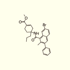 CCCC1(NC(=O)c2c(C)c(-c3ccccc3)cc3ccc(Br)cc23)CC=C(C(=O)OC)CC1